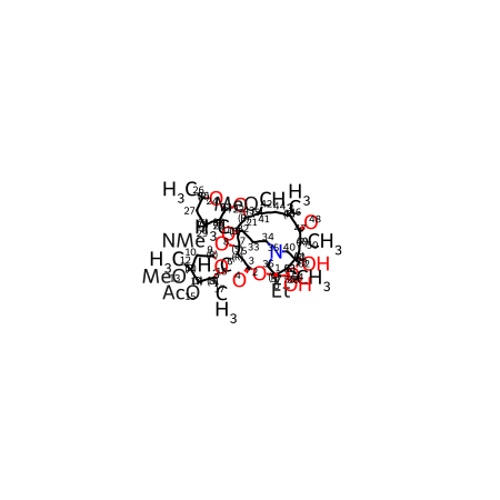 CC[C@H]1OC(=O)[C@H](C)[C@@H](O[C@H]2C[C@@](C)(OC)[C@@H](OC(C)=O)[C@H](C)O2)[C@H](C)[C@@H](O[C@@H]2O[C@H](C)C[C@H](NC)[C@H]2OCCCN2CCOCC2)[C@@](C)(OC)C[C@@H](C)C(=O)[C@H](C)[C@@H](O)[C@]1(C)O